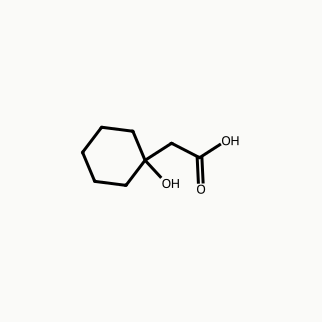 O=C(O)CC1(O)CCCCC1